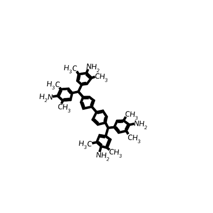 Cc1cc(C(c2ccc(-c3ccc(C(c4cc(C)c(N)c(C)c4)c4cc(C)c(N)c(C)c4)cc3)cc2)c2cc(C)c(N)c(C)c2)cc(C)c1N